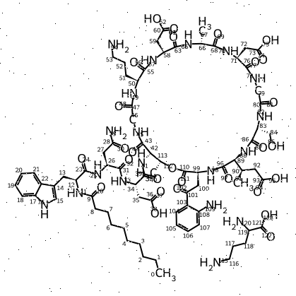 CCCCCCCCCC(=O)N[C@@H](Cc1c[nH]c2ccccc12)C(=O)N[C@@H](CC(N)=O)C(=O)N[C@@H](CC(=O)O)C(=O)N[C@@H]1C(=O)NCC(=O)N[C@@H](CCCN)C(=O)N[C@@H](CC(=O)O)C(=O)N[C@H](C)C(=O)N[C@@H](CC(=O)O)C(=O)NCC(=O)N[C@H](CO)C(=O)N[C@@H]([C@H](C)CC(=O)O)C(=O)N[C@@H](CC(=O)c2ccccc2N)C(=O)O[C@@H]1C.NCCCC(N)C(=O)O